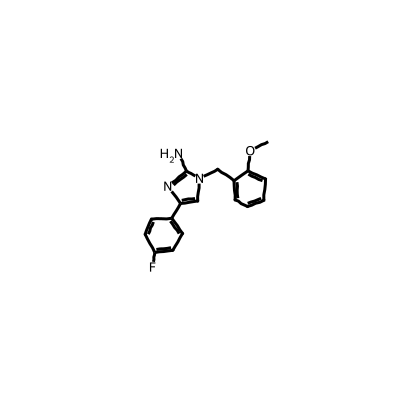 COc1ccccc1Cn1cc(-c2ccc(F)cc2)nc1N